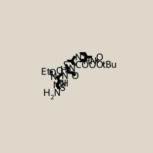 CCO/N=C(\C(=O)NC1C(=O)N2C(C(=O)[O-])=C(C[n+]3ccc(CNC(=O)OC(C)(C)C)cc3)CS[C@H]12)c1nsc(N)n1